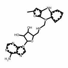 Cc1cc2c(o1)N(CNCC1OC(n3cnc4c(N)ncnc43)C(O)C1O)c1ccccc1N2